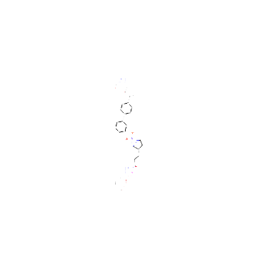 CC(c1ccc(-c2cccc(S(=O)(=O)n3ccc(C=CC(=O)NOC4CCCCO4)c3)c2)cc1)C1CNCCO1